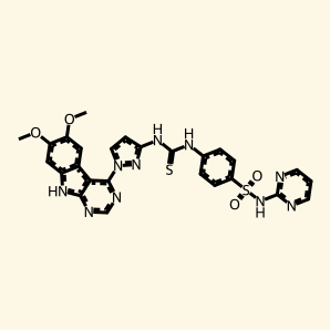 COc1cc2[nH]c3ncnc(-n4ccc(NC(=S)Nc5ccc(S(=O)(=O)Nc6ncccn6)cc5)n4)c3c2cc1OC